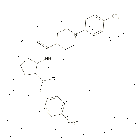 O=C(O)c1ccc(CC(Cl)C2CCCC2NC(=O)C2CCN(c3ccc(C(F)(F)F)cc3)CC2)cc1